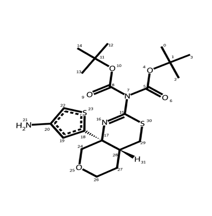 CC(C)(C)OC(=O)N(C(=O)OC(C)(C)C)C1=N[C@]2(c3cc(N)cs3)COCC[C@H]2CS1